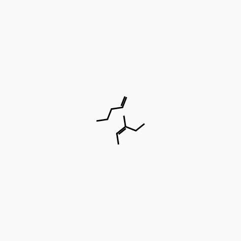 C=CCCC.CC=C(C)CC